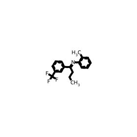 CCC/C(=N\c1ccccc1C)c1cccc(C(F)(F)F)c1